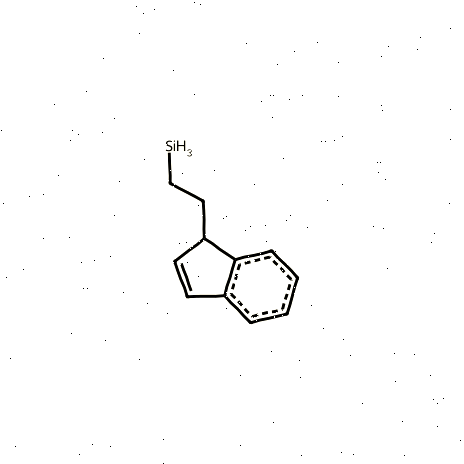 [SiH3]CCC1C=Cc2ccccc21